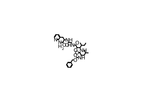 CCC(C)C(NC(=O)C(CC(C)C)NC(=O)OCc1ccccc1)C(=O)C(=O)NCC(=O)NC(Cc1cccnc1)C(N)=O